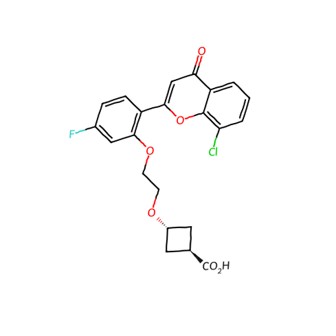 O=c1cc(-c2ccc(F)cc2OCCO[C@H]2C[C@H](C(=O)O)C2)oc2c(Cl)cccc12